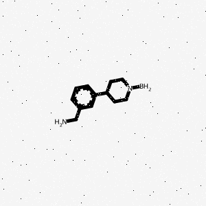 BN1CCC(c2cccc(CN)c2)CC1